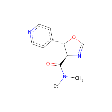 CCN(C)C(=O)[C@@H]1N=CO[C@H]1c1ccncc1